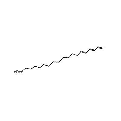 [CH]=CC=CC=CCCCCCCCCCCCCCCCCCCCCCC